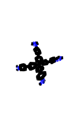 CNCc1ccc(-c2ccc(C(c3ccc(-c4ccc(N(C)C)cc4)cc3)(c3ccc(-c4ccc(N(C)C)cc4)cc3)c3ccc(-c4ccc(N(C)C)cc4)cc3)cc2)cc1